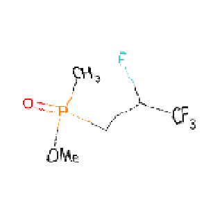 COP(C)(=O)CC(F)C(F)(F)F